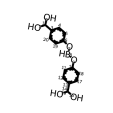 OC(O)c1ccc(OBOc2ccc(C(O)O)cc2)cc1